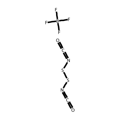 F[B-](F)(F)F.O=C=NSSN=C=O